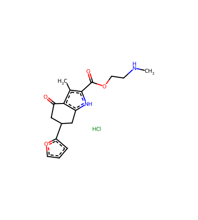 CNCCOC(=O)c1[nH]c2c(c1C)C(=O)CC(c1ccco1)C2.Cl